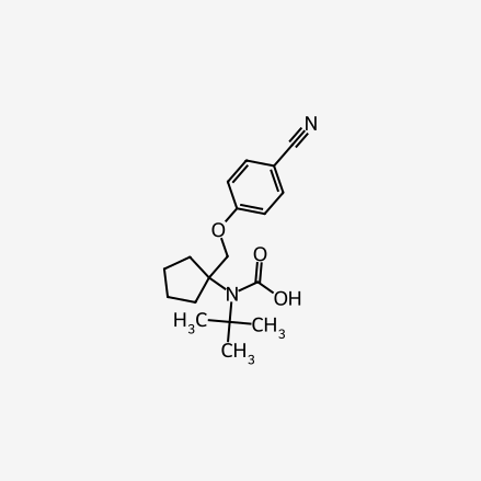 CC(C)(C)N(C(=O)O)C1(COc2ccc(C#N)cc2)CCCC1